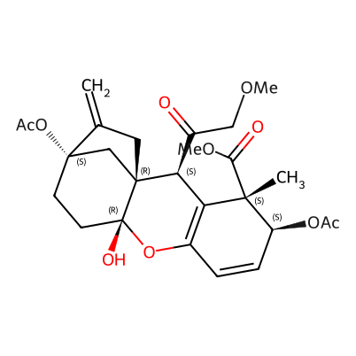 C=C1C[C@]23C[C@@]1(OC(C)=O)CC[C@@]2(O)OC1=C([C@@H]3C(=O)COC)[C@](C)(C(=O)OC)[C@@H](OC(C)=O)C=C1